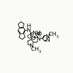 CN1CCC(F)C1CN(c1cnn(C)c1)S(=O)(=O)NC(=O)Nc1c2c(cc3c1CCC3)CCC2